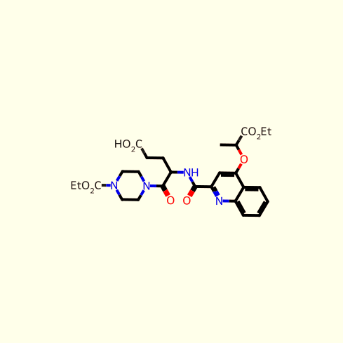 CCOC(=O)C(C)Oc1cc(C(=O)NC(CCC(=O)O)C(=O)N2CCN(C(=O)OCC)CC2)nc2ccccc12